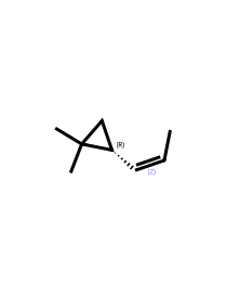 C/C=C\[C@H]1CC1(C)C